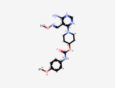 CCO/N=C/c1c(N)ncnc1N1CCC(OC(=O)Nc2ccc(OC(C)C)cc2)CC1